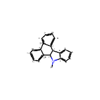 CN1c2ccccc2C2c3ccccc3-c3ccccc3C21